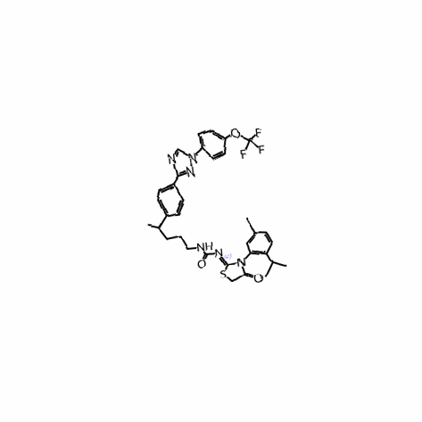 Cc1ccc(C(C)C)c(N2C(=O)CS/C2=N\C(=O)NCCCC(C)c2ccc(-c3ncn(-c4ccc(OC(F)(F)F)cc4)n3)cc2)c1